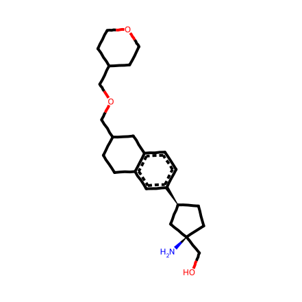 N[C@]1(CO)CC[C@H](c2ccc3c(c2)CCC(COCC2CCOCC2)C3)C1